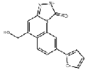 O=c1[nH]nc2cc(CO)c3ccc(-c4ccco4)cc3n12